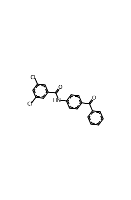 O=C(Nc1ccc(C(=O)c2ccccc2)cc1)c1cc(Cl)cc(Cl)c1